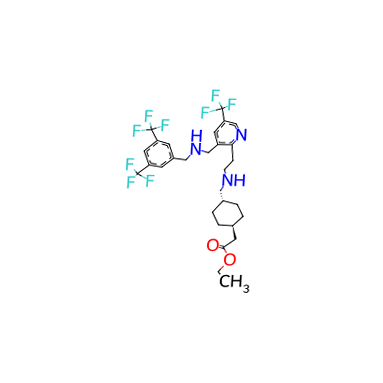 CCOC(=O)C[C@H]1CC[C@H](CNCCc2ncc(C(F)(F)F)cc2CNCc2cc(C(F)(F)F)cc(C(F)(F)F)c2)CC1